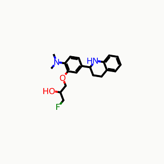 CN(C)c1ccc(C2CCc3ccccc3N2)cc1OCC(O)CF